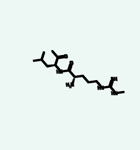 CNC(=N)NCCC[C@H](N)C(=O)N[C@@H](CC(C)C)C(C)=O